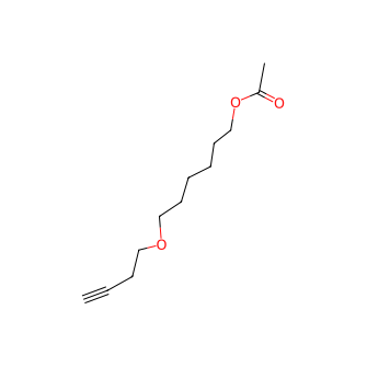 C#CCCOCCCCCCOC(C)=O